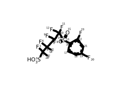 O=S(=O)(O)C(F)(F)C(F)(F)C(F)(F)C(F)(F)S(=O)(=O)c1ccc(F)cc1F